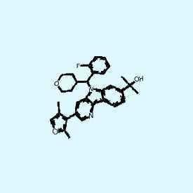 Cc1coc(C)c1-c1cnc2c3ccc(C(C)(C)O)cc3n(C(c3ccccc3F)C3CCOCC3)c2c1